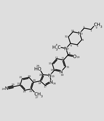 CCCN1CCC(N(C)C(=O)c2ccc(-n3ncc(-c4ccc(C#N)cc4C)c3O)nc2)CC1